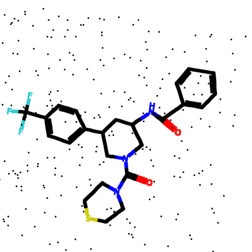 O=C(NC1CC(c2ccc(C(F)(F)F)cc2)CN(C(=O)N2CCSCC2)C1)c1ccccc1